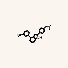 CN(C)Cc1ccc(-c2cc3c(-c4cccc(C#N)c4)cccc3[nH]2)cc1